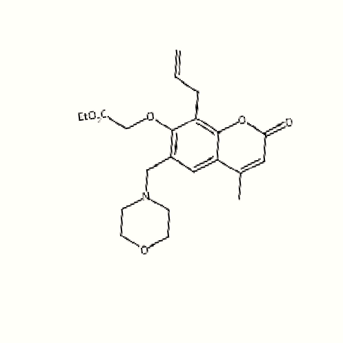 C=CCc1c(OCC(=O)OCC)c(CN2CCOCC2)cc2c(C)cc(=O)oc12